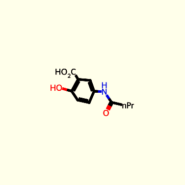 CCCC(=O)Nc1ccc(O)c(C(=O)O)c1